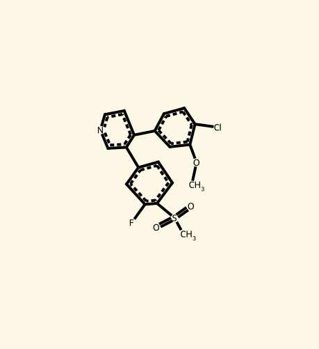 COc1cc(-c2ccncc2-c2ccc(S(C)(=O)=O)c(F)c2)ccc1Cl